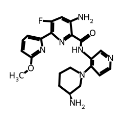 COc1cccc(-c2nc(C(=O)Nc3cnccc3N3CCC[C@H](N)C3)c(N)cc2F)n1